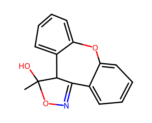 CC1(O)ON=C2c3ccccc3Oc3ccccc3C21